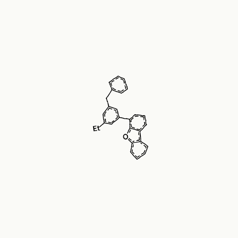 CCc1cc(Cc2ccccc2)cc(-c2cccc3c2oc2ccccc23)c1